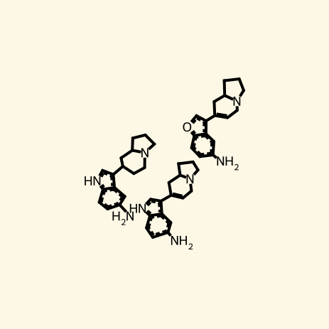 Nc1ccc2[nH]cc(C3=CCN4CCCC4C3)c2c1.Nc1ccc2[nH]cc(C3CCN4CCCC4C3)c2c1.Nc1ccc2occ(C3=CCN4CCCC4C3)c2c1